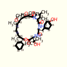 CC[C@H](C)[C@H]1C(=O)N[C@H](Cc2ccc(O)cc2)C(=O)N[C@@H](C(C)(C)O)C(=O)O[C@H](c2ccccc2)[C@H](C)/C=C\C=C(\C)[C@H](OC)C[C@@H]2O[C@@]2(C)C(=O)N1C